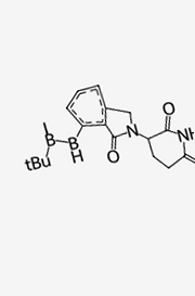 CC(C)(C)B(I)Bc1cccc2c1C(=O)N(C1CCC(=O)NC1=O)C2